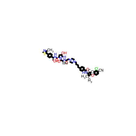 Cc1ncsc1-c1ccc([C@H](CO)NC(=O)[C@@H]2C[C@@H](O)CN2C(=O)[C@@H](NC(=O)CN2CCN(CCCCc3ccc(C(=O)N[C@H]4C(C)(C)[C@H](Oc5ccc(C#N)c(Cl)c5)C4(C)C)cc3)CC2)C(C)(C)C)cc1